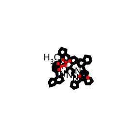 Cc1cccc(-c2ccccc2-c2c(-n3c4ccccc4c4c5ccccc5ccc43)c(-n3c4ccccc4c4c5ccccc5ccc43)nc(-n3c4ccccc4c4c5ccccc5ccc43)c2-n2c3ccccc3c3c4ccccc4ccc32)n1